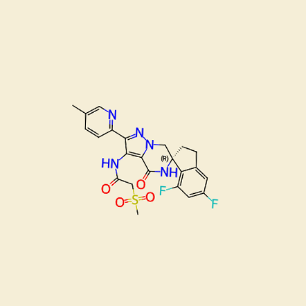 Cc1ccc(-c2nn3c(c2NC(=O)CS(C)(=O)=O)C(=O)N[C@@]2(CCc4cc(F)cc(F)c42)C3)nc1